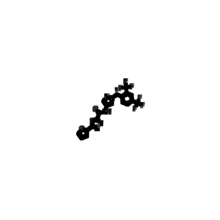 C[C@H](c1ccc(C(F)(F)F)cc1C(F)(F)F)n1cc(NC(=O)c2nnc(-c3ccco3)s2)cn1